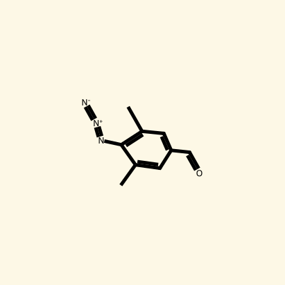 Cc1cc(C=O)cc(C)c1N=[N+]=[N-]